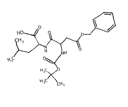 CC(C)CC(NC(=O)C(CC(=O)OCc1ccccc1)NC(=O)OC(C)(C)C)C(=O)O